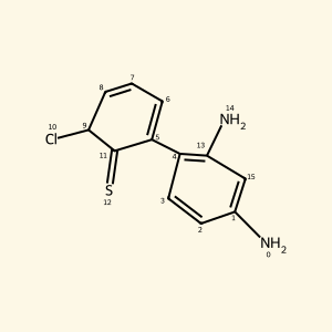 Nc1ccc(C2=CC=CC(Cl)C2=S)c(N)c1